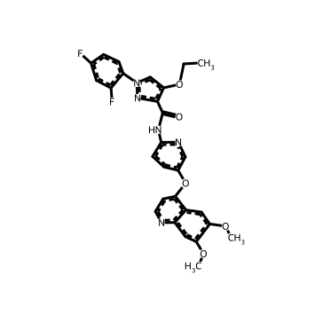 CCOc1cn(-c2ccc(F)cc2F)nc1C(=O)Nc1ccc(Oc2ccnc3cc(OC)c(OC)cc23)cn1